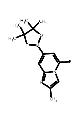 Cc1cn2c(F)cc(B3OC(C)(C)C(C)(C)O3)cc2n1